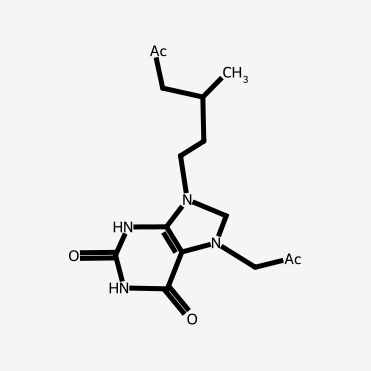 CC(=O)CC(C)CCN1CN(CC(C)=O)c2c1[nH]c(=O)[nH]c2=O